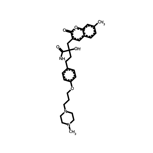 Cc1ccc2cc(CC(O)(CCc3ccc(OCCCN4CCN(C)CC4)cc3)C(N)=O)c(=O)oc2c1